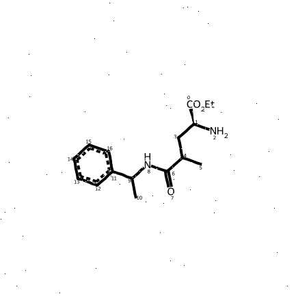 CCOC(=O)[C@@H](N)CC(C)C(=O)NC(C)c1ccccc1